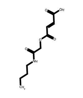 CCCCNC(=O)COC(=O)C=CC(=O)O